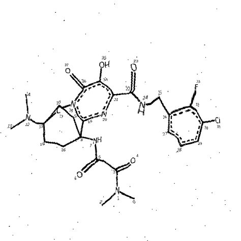 CN(C)C(=O)C(=O)NC12CCC(N(C)C)(CC1)Cn1c2nc(C(=O)NCc2cccc(Cl)c2F)c(O)c1=O